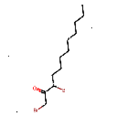 CCCCCCCCCC(Br)C(=O)CBr